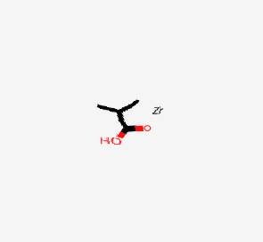 CC(C)C(=O)O.[Zr]